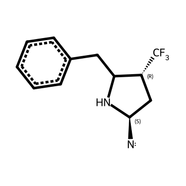 [N][C@@H]1C[C@@H](C(F)(F)F)C(Cc2ccccc2)N1